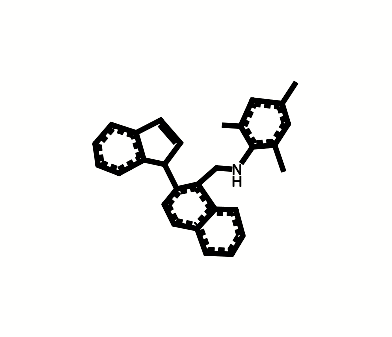 Cc1cc(C)c(NCc2c(C3C=Cc4ccccc43)ccc3ccccc23)c(C)c1